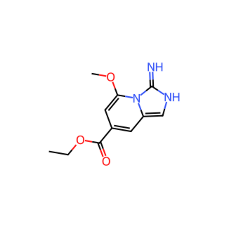 CCOC(=O)c1cc(OC)n2c(=N)[nH]cc2c1